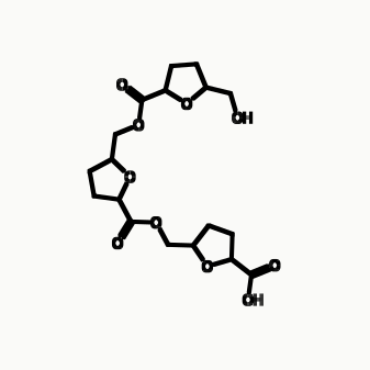 O=C(O)C1CCC(COC(=O)C2CCC(COC(=O)C3CCC(CO)O3)O2)O1